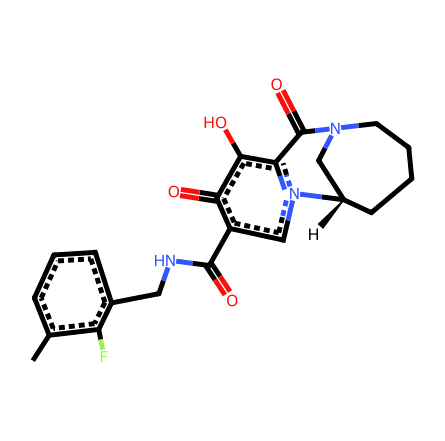 Cc1cccc(CNC(=O)c2cn3c(c(O)c2=O)C(=O)N2CCCC[C@H]3C2)c1F